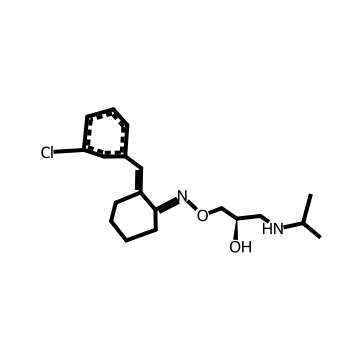 CC(C)NC[C@@H](O)CO/N=C1\CCCC\C1=C/c1cccc(Cl)c1